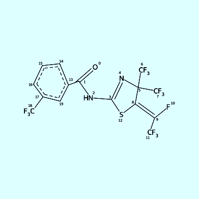 O=C(NC1=NC(C(F)(F)F)(C(F)(F)F)C(=C(F)C(F)(F)F)S1)c1cccc(C(F)(F)F)c1